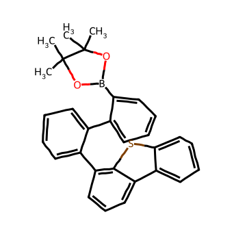 CC1(C)OB(c2ccccc2-c2ccccc2-c2cccc3c2sc2ccccc23)OC1(C)C